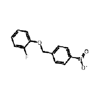 O=[N+]([O-])c1ccc(COc2ccccc2F)cc1